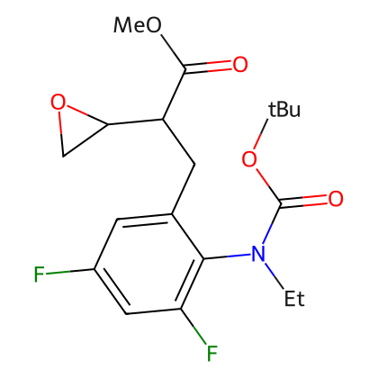 CCN(C(=O)OC(C)(C)C)c1c(F)cc(F)cc1CC(C(=O)OC)C1CO1